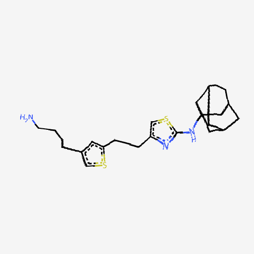 NCCCc1csc(CCc2csc(NC34CC5CC(CC(C5)C3)C4)n2)c1